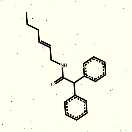 CCC/C=C/CNC(=O)C(c1ccccc1)c1ccccc1